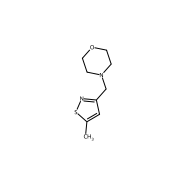 Cc1cc(CN2CCOCC2)ns1